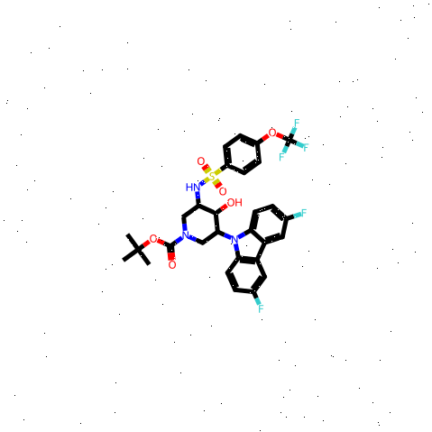 CC(C)(C)OC(=O)N1CC(NS(=O)(=O)c2ccc(OC(F)(F)F)cc2)C(O)C(n2c3ccc(F)cc3c3cc(F)ccc32)C1